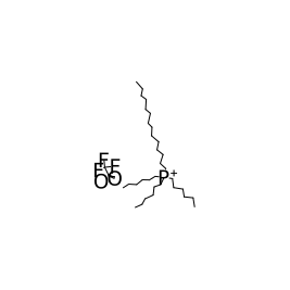 CCCCCCCCCCCCCC[P+](CCCCCC)(CCCCCC)CCCCCC.O=C([O-])C(F)(F)F